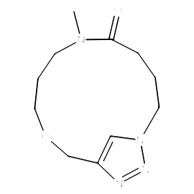 CN1CCCOCc2cn(nn2)CCCC1=O